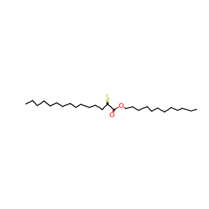 CCCCCCCCCCCCCC(=S)C(=O)OCCCCCCCCCCCC